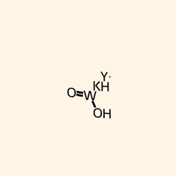 [KH].[O]=[W][OH].[Y]